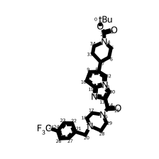 CC(C)(C)OC(=O)N1CCC(c2ccc3nc(C(=O)N4CCN(Cc5ccc(C(F)(F)F)cc5)CC4)cn3c2)CC1